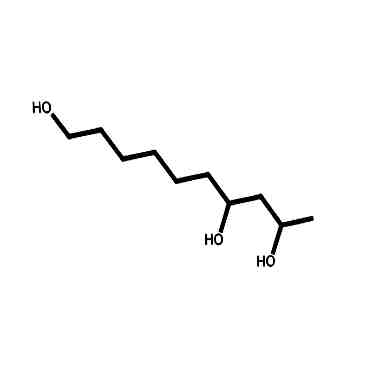 CC(O)CC(O)CCCCCCO